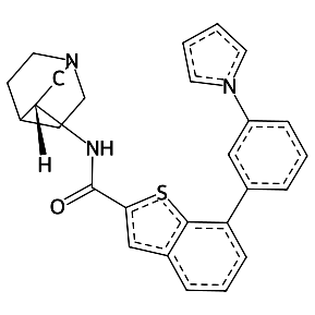 O=C(N[C@H]1CN2CCC1CC2)c1cc2cccc(-c3cccc(-n4cccc4)c3)c2s1